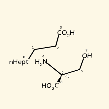 CCCCCCCCCC(=O)O.N[C@@H](CO)C(=O)O